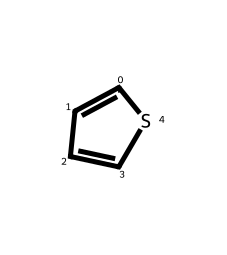 [c]1cccs1